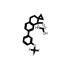 O=C[C@@]1(NC(=O)O)c2cc(-c3cccc(OC(F)(F)F)c3)ccc2CCC12CC2